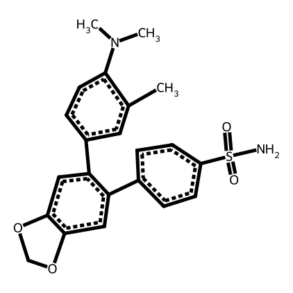 Cc1cc(-c2cc3c(cc2-c2ccc(S(N)(=O)=O)cc2)OCO3)ccc1N(C)C